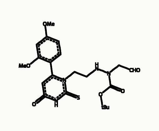 COc1ccc(-c2cc(=O)[nH]c(=S)n2CCNN(CC=O)C(=O)OC(C)(C)C)c(OC)c1